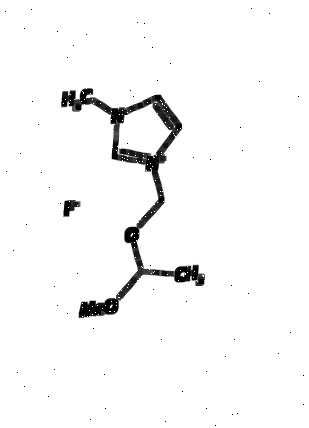 COC(C)OC[n+]1ccn(C)c1.[F-]